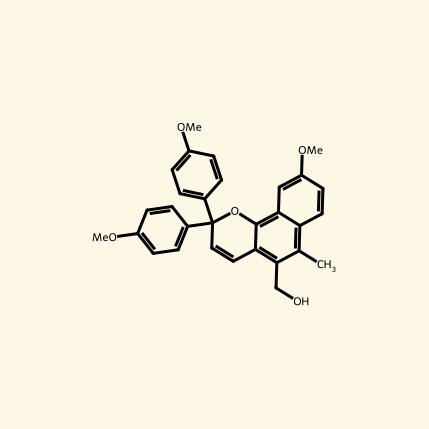 COc1ccc(C2(c3ccc(OC)cc3)C=Cc3c(CO)c(C)c4ccc(OC)cc4c3O2)cc1